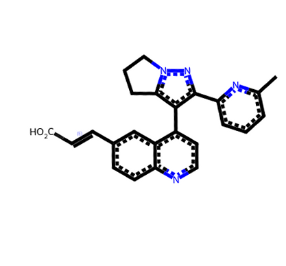 Cc1cccc(-c2nn3c(c2-c2ccnc4ccc(/C=C/C(=O)O)cc24)CCC3)n1